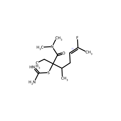 CCC(SC(=N)N)(C(=O)N(C)C)C(C)C/C=C(\C)F